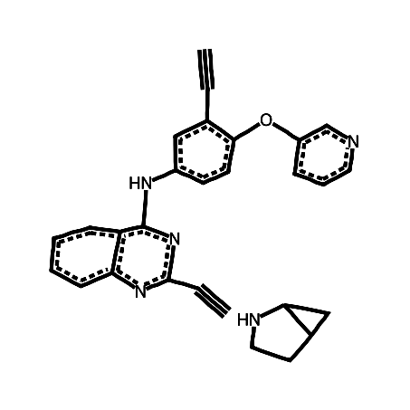 C#Cc1nc(Nc2ccc(Oc3cccnc3)c(C#C)c2)c2ccccc2n1.C1CC2CC2N1